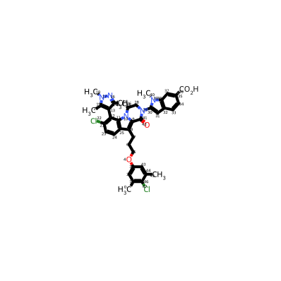 Cc1cc(OCCCc2c3n(c4c(-c5c(C)nn(C)c5C)c(Cl)ccc24)C(C)CN(c2cc4ccc(C(=O)O)cc4n2C)C3=O)cc(C)c1Cl